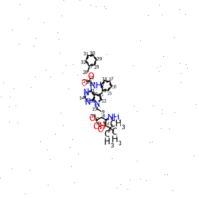 CC(C)(C)C(=O)C(=N)[C@@H](CCn1cc(-c2ccccc2)c2c(NC(=O)OCc3ccccc3)ncnc21)C(=O)O